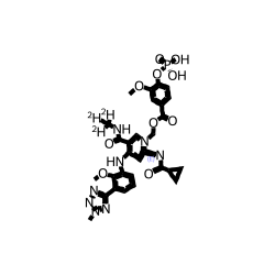 [2H]C([2H])([2H])NC(=O)c1cn(COC(=O)c2ccc(OP(=O)(O)O)c(OC)c2)/c(=N/C(=O)C2CC2)cc1Nc1cccc(-c2nnn(C)n2)c1OC